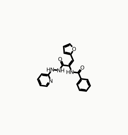 O=C(NNc1ccccn1)/C(=C\c1ccco1)NC(=O)c1ccccc1